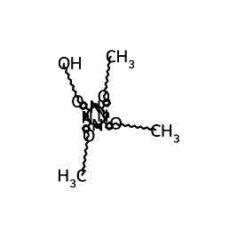 CCCCCCCCCCCCCOc1cccc(C2=C3C=CC(=N3)C(c3cccc(OCCCCCCCCCCCCC)c3)=C3C=CC(=N3)C(c3cccc(OCCCCCCCCCCCCC)c3)=C3C=CC(=N3)C(c3ccc(OCCCCCCCCCCCCO)cc3)=C3C=CC2=N3)c1